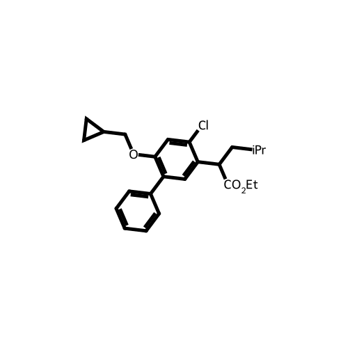 CCOC(=O)C(CC(C)C)c1cc(-c2ccccc2)c(OCC2CC2)cc1Cl